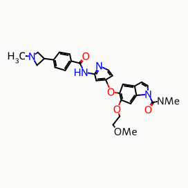 CNC(=O)n1ccc2cc(Oc3ccnc(NC(=O)c4ccc(C5CN(C)C5)cc4)c3)c(OCCOC)cc21